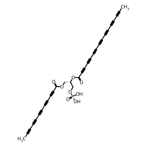 CC#CC#CC#CC#CC#CC#CC#CC(=O)O[C@@H](COC(=O)C#CC#CC#CC#CC#CC)COP(=O)(O)O